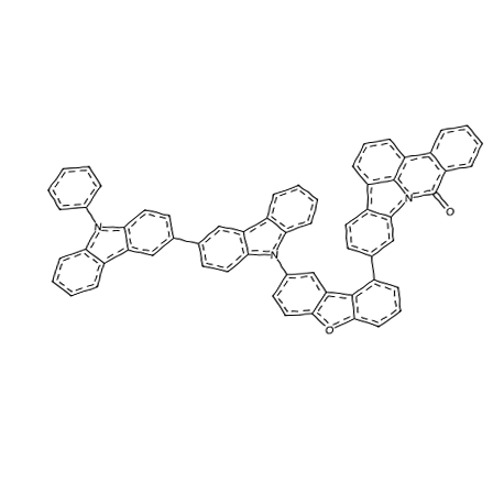 O=c1c2ccccc2c2cccc3c4ccc(-c5cccc6oc7ccc(-n8c9ccccc9c9cc(-c%10ccc%11c(c%10)c%10ccccc%10n%11-c%10ccccc%10)ccc98)cc7c56)cc4n1c23